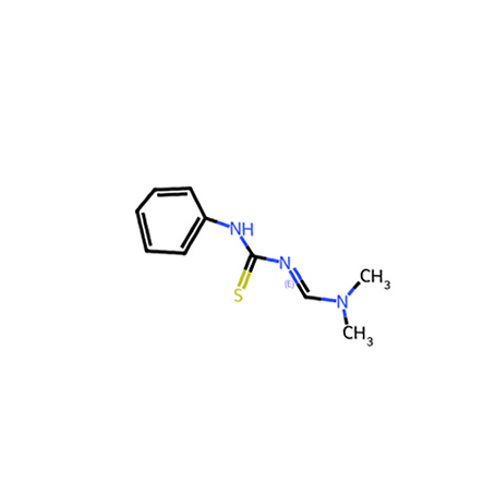 CN(C)/C=N/C(=S)Nc1ccccc1